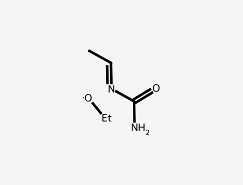 CC=NC(N)=O.CC[O]